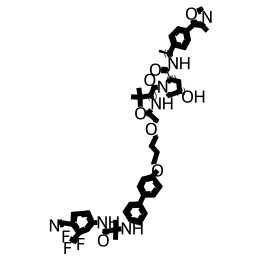 Cc1ncoc1-c1ccc([C@H](C)NC(=O)[C@@H]2C[C@@H](O)CN2C(=O)[C@@H](NC(=O)COCCCCOc2ccc(-c3ccc(NC(C)(C)C(=O)Nc4ccc(C#N)c(C(F)(F)F)c4)cc3)cc2)C(C)(C)C)cc1